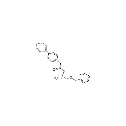 C[C@@H](COCc1ccccc1)CC(=O)Cc1ccc(-c2ccccc2)cc1